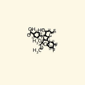 COCC(C)(C)c1c(-c2ccc(F)c(F)c2)c2cc(F)cc(O)c2n1-c1ccc(C(=O)O)cc1